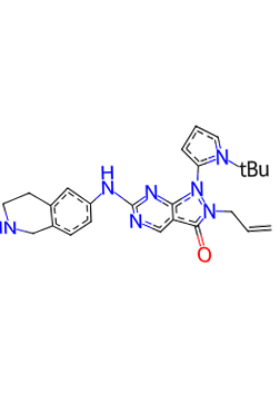 C=CCn1c(=O)c2cnc(Nc3ccc4c(c3)CCNC4)nc2n1-c1cccn1C(C)(C)C